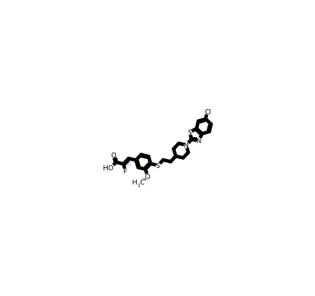 COc1cc(/C=C(\F)C(=O)O)ccc1SCCC1CCN(c2nc3ccc(Cl)cc3s2)CC1